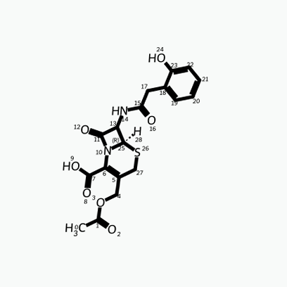 CC(=O)OCC1=C(C(=O)O)N2C(=O)C(NC(=O)Cc3ccccc3O)[C@H]2SC1